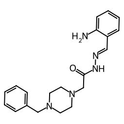 Nc1ccccc1/C=N/NC(=O)CN1CCN(Cc2ccccc2)CC1